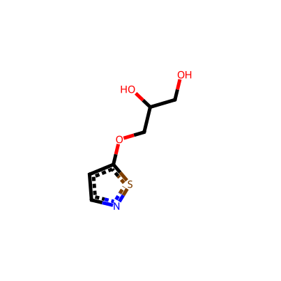 OCC(O)COc1ccns1